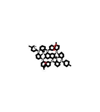 Cc1ccc(N2c3cccc4c3P3(=O)c5c2cccc5N(c2ccc(C)cc2)c2c3c(cc3c5c6c(cc23)N(c2ccc(C)cc2)c2cccc3c2P6(=O)c2c(cccc2N5c2ccc(C)cc2)N3c2ccc(C)cc2)N4c2ccc(C)cc2)cc1